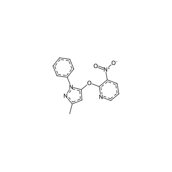 Cc1cc(Oc2ncccc2[N+](=O)[O-])n(-c2ccccc2)n1